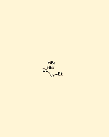 Br.Br.CCOCC